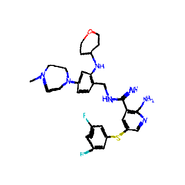 CN1CCN(c2ccc(CNC(=N)c3cc(Sc4cc(F)cc(F)c4)cnc3N)c(NC3CCOCC3)c2)CC1